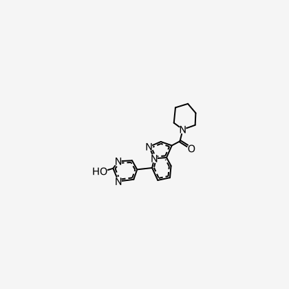 O=C(c1cnn2c(-c3cnc(O)nc3)cccc12)N1CCCCC1